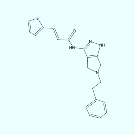 O=C(C=Cc1cccs1)Nc1n[nH]c2c1CN(CCc1ccccc1)C2